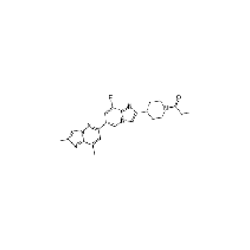 CCC(=O)N1CCC(c2cn3cc(-c4cc(C)c5nc(C)cn5n4)cc(F)c3n2)CC1